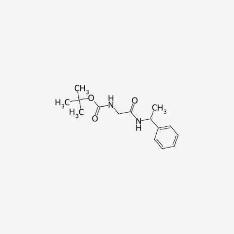 CC(NC(=O)CNC(=O)OC(C)(C)C)c1ccccc1